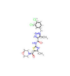 Cc1nc(NC(=O)c2nnn(Cc3ccc(Cl)c(Cl)c3)c2C)sc1C(=O)N1CCOCC1